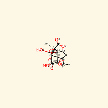 C=C(C)[C@@H]1CC2OC(=O)C34OC5OC(=O)[C@H](O)C51C23[C@@H](O)C(CO)OC(O)[C@H]4C